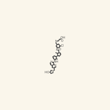 Cc1c(Nc2nccc3cc(CN4CC[C@H](O)C4)cnc23)cccc1-c1cccc(-c2nc3cc(CN(C)CCC(=O)O)cc(Cl)c3o2)c1C